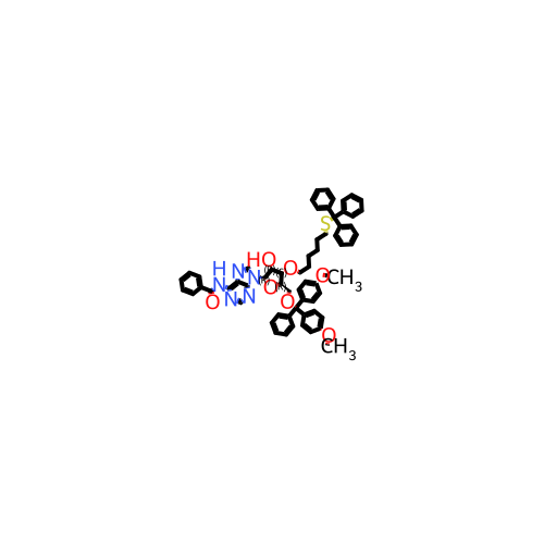 COc1ccc(C(OC[C@H]2O[C@@H](n3cnc4c(NC(=O)c5ccccc5)ncnc43)[C@H](O)[C@@H]2OCCCCCCSC(c2ccccc2)(c2ccccc2)c2ccccc2)(c2ccccc2)c2ccc(OC)cc2)cc1